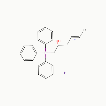 CC/C=C/CC(O)C[P+](c1ccccc1)(c1ccccc1)c1ccccc1.[I-]